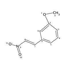 COc1[c]ccc(C=C[N+](=O)[O-])c1